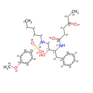 CCCCCN(CC(O)C(Cc1ccccc1)NC(=O)CCC(=O)CC)S(=O)(=O)c1ccc(OC)cc1